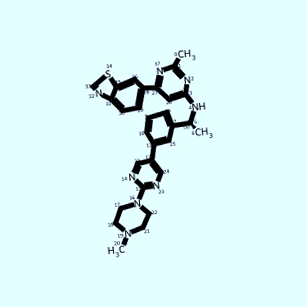 Cc1nc(N[C@@H](C)c2cccc(-c3cnc(N4CCN(C)CC4)nc3)c2)cc(-c2ccc3ncsc3c2)n1